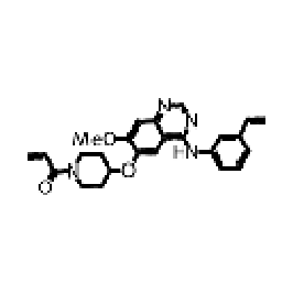 C=CC(=O)N1CCC(Oc2cc3c(Nc4cccc(C=C)c4)ncnc3cc2OC)CC1